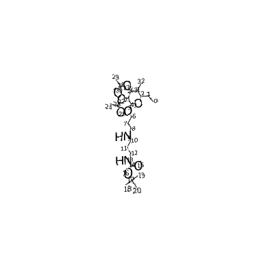 CCC1OC(OCCCNCCCNC(=O)OC(C)(C)C)C(OC(C)=O)C(OC(C)=O)C1C